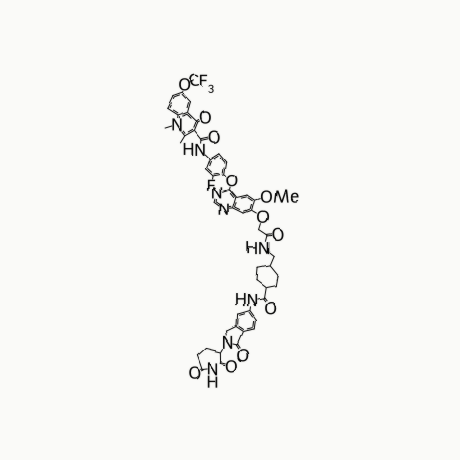 COc1cc2c(Oc3ccc(NC(=O)c4c(C)n(C)c5ccc(OC(F)(F)F)cc5c4=O)cc3F)ncnc2cc1OCC(=O)NCC1CCC(C(=O)Nc2ccc3c(c2)CN(C2CCC(=O)NC2=O)C3=O)CC1